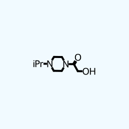 CC(C)N1CCN(C(=O)CO)CC1